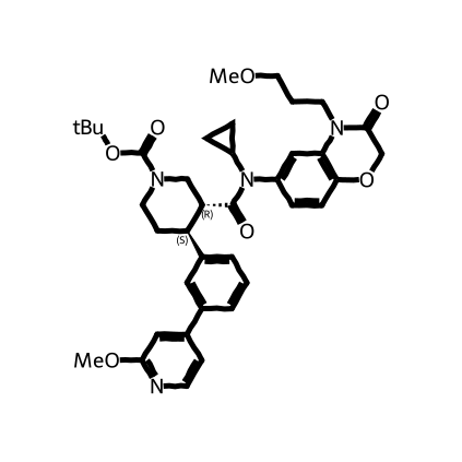 COCCCN1C(=O)COc2ccc(N(C(=O)[C@H]3CN(C(=O)OC(C)(C)C)CC[C@@H]3c3cccc(-c4ccnc(OC)c4)c3)C3CC3)cc21